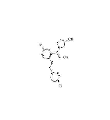 OCC(c1cc(Br)ccc1OCc1ccc(Cl)cc1)N1CCC(O)C1